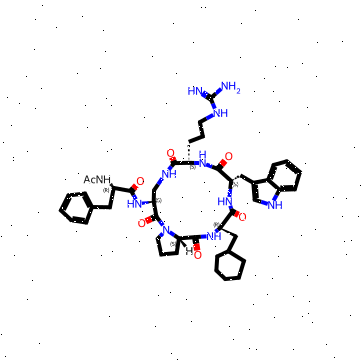 CC(=O)N[C@H](Cc1ccccc1)C(=O)N[C@H]1CNC(=O)[C@H](CCCNC(=N)N)NC(=O)[C@H](Cc2c[nH]c3ccccc23)NC(=O)[C@@H](CC2CCCCC2)NC(=O)[C@@H]2CCCN2C1=O